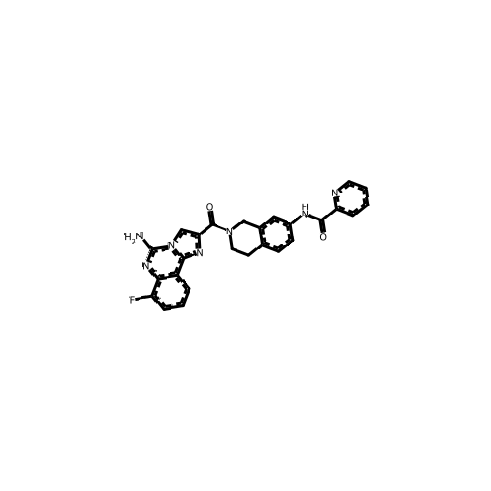 Nc1nc2c(F)cccc2c2nc(C(=O)N3CCc4ccc(NC(=O)c5ccccn5)cc4C3)cn12